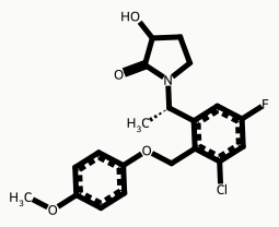 COc1ccc(OCc2c(Cl)cc(F)cc2[C@H](C)N2CCC(O)C2=O)cc1